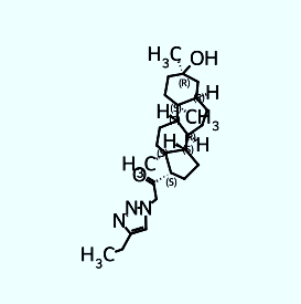 CCc1cn(CC(=O)[C@H]2CC[C@H]3[C@@H]4CC[C@@H]5C[C@](C)(O)CC[C@]5(C)[C@H]4CC[C@]23C)nn1